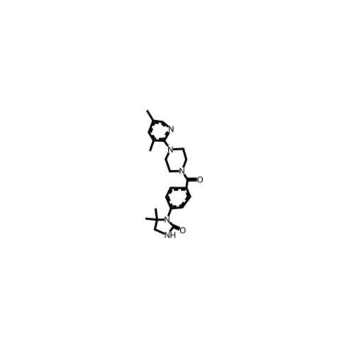 Cc1cnc(N2CCN(C(=O)c3ccc(N4C(=O)NCC4(C)C)cc3)CC2)c(C)c1